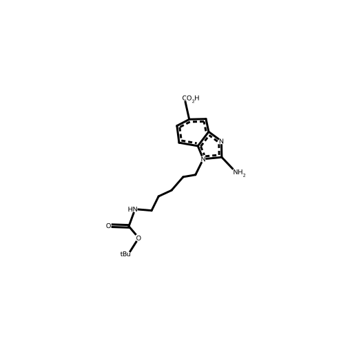 CC(C)(C)OC(=O)NCCCCCn1c(N)nc2cc(C(=O)O)ccc21